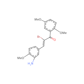 COc1ccc(OC)c(C(=O)C(Br)=Cc2ccc(OC)c(N)c2)c1